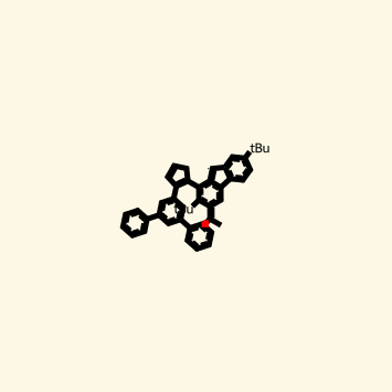 CC(C)=c1cc2c(c(C3=C(c4cc(-c5ccccc5)cc(-c5ccccc5)c4)C=CC3)c1C(C)(C)C)=[C]c1cc(C(C)(C)C)ccc1-2